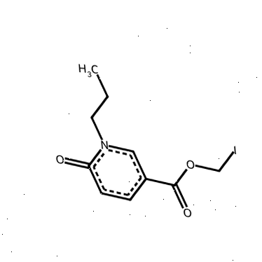 CCCn1cc(C(=O)OCI)ccc1=O